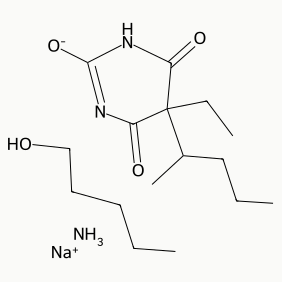 CCCC(C)C1(CC)C(=O)N=C([O-])NC1=O.CCCCCO.N.[Na+]